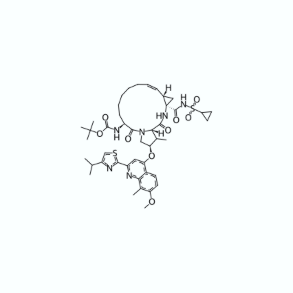 COc1ccc2c(O[C@H]3CN4C(=O)[C@@H](NC(=O)OC(C)(C)C)CCCCC/C=C\[C@@H]5C[C@@]5(C(=O)NS(=O)(=O)C5CC5)NC(=O)[C@@H]4C3C)cc(-c3nc(C(C)C)cs3)nc2c1C